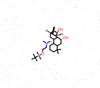 C=C1[C@H]2CC[C@]3(C(C2)[C@]2(CN(C)CCO[Si](C)(C)C(C)(C)C)CCCC(C)(C)C2C[C@H]3O)[C@H]1O